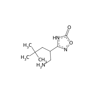 CC(C)(C)CC(CN)c1noc(=O)[nH]1